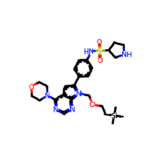 C[Si](C)(C)CCOCn1c(-c2ccc(NS(=O)(=O)C3CCNC3)cc2)cc2c(N3CCOCC3)ncnc21